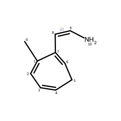 CC1=CC=CCC=C1/C=C\N